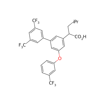 CC(C)CC(C(=O)O)c1cc(Oc2cccc(C(F)(F)F)c2)cc(-c2cc(C(F)(F)F)cc(C(F)(F)F)c2)c1